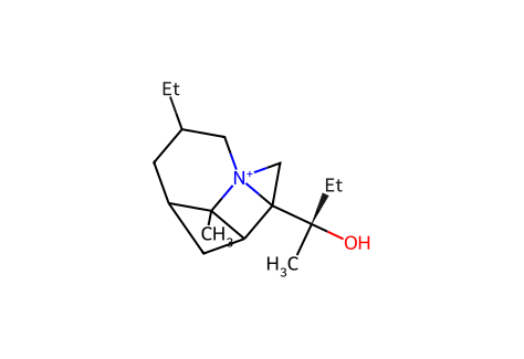 CCC1CC2CC3C2(C)[N+]2(C1)CC32[C@@](C)(O)CC